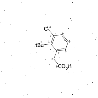 CC(C)(C)c1c(Cl)cccc1CC(=O)O